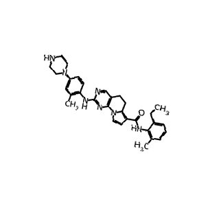 CCc1cccc(C)c1NC(=O)c1ccn2c1CCc1cnc(Nc3ccc(N4CCNCC4)cc3C)nc1-2